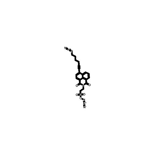 [N-]=[N+]=NCCCCC#Cc1ccc2c3c(cccc13)C(=O)N(CCS(=O)(=O)ON=[N+]=[N-])C2=O